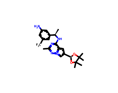 Cc1nc(N[C@H](C)c2cc(N)cc(C(F)(F)F)c2)c2cc(B3OC(C)(C)C(C)(C)O3)cn2n1